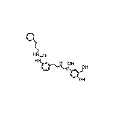 O=C(NCCCc1ccccc1)Nc1cccc(CCNC[C@H](O)c2ccc(O)c(CO)c2)c1